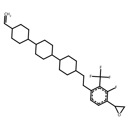 C=CC1CCC(C2CCC(C3CCC(CCc4ccc(C5CO5)c(F)c4C(F)(F)F)CC3)CC2)CC1